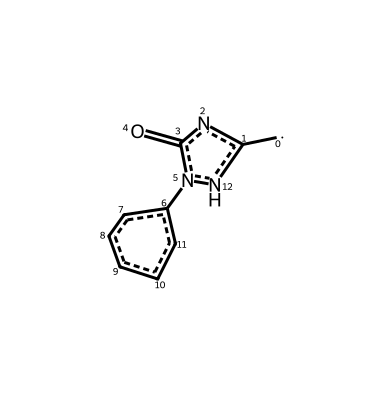 [CH2]c1nc(=O)n(-c2ccccc2)[nH]1